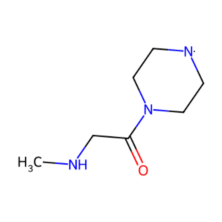 CNCC(=O)N1CC[N]CC1